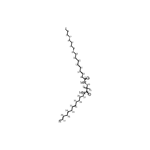 CCCCCCCCCCCCCCCCCC(=O)NCC(C)(C)C(=O)NCCCCCCCCCCCC